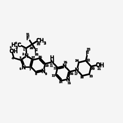 CC(n1c(CO)nc2cnc(Nc3ccnc(N4CCC(O)C(F)C4)n3)cc21)C(C)(F)F